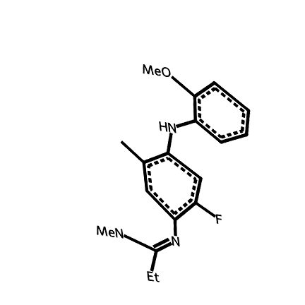 CCC(=Nc1cc(C)c(Nc2ccccc2OC)cc1F)NC